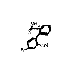 N#Cc1cc(Br)ccc1-c1ccccc1C(N)=O